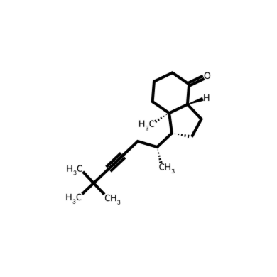 C[C@H](CC#CC(C)(C)C)[C@H]1CC[C@H]2C(=O)CCC[C@]12C